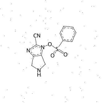 N#Cc1nc2c(n1OS(=O)(=O)c1ccccc1)CNC2